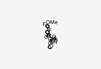 COc1ccc(-c2ccc3c(c2F)CN(CC[C@](C)(C(=O)NOC2CCCCO2)S(C)(=O)=O)C3=O)cc1F